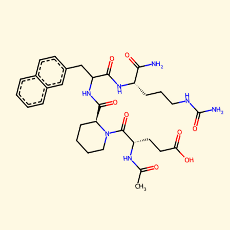 CC(=O)N[C@@H](CCC(=O)O)C(=O)N1CCCC[C@H]1C(=O)NC(Cc1ccc2ccccc2c1)C(=O)N[C@@H](CCCNC(N)=O)C(N)=O